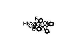 O=C(Nc1cccc(F)c1CC[C@H]1CNCCN1S(=O)(=O)c1ccccc1)C(O)C(c1ccccc1)c1ccccc1